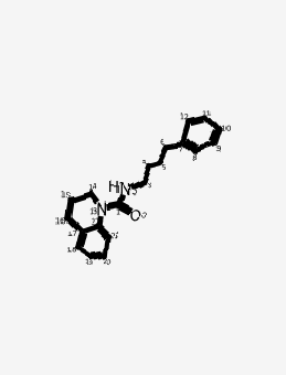 O=C(NCCCCc1ccccc1)N1CCCc2ccccc21